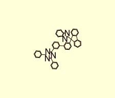 c1ccc(-c2nc(-c3ccccc3)nc(-c3cccc(-c4cccc5c4-n4c(nc6ccccc64)C54c5ccccc5-c5ccccc54)c3)n2)cc1